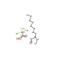 CCCCCCCCC(C=O)CC.O=C(O)C(F)(F)F